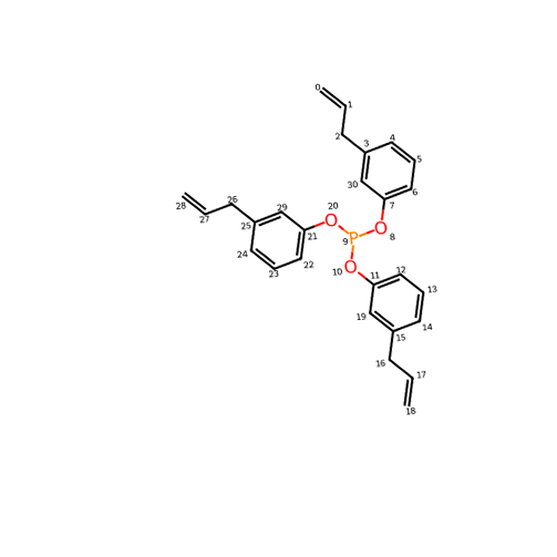 C=CCc1cccc(OP(Oc2cccc(CC=C)c2)Oc2cccc(CC=C)c2)c1